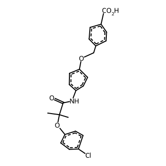 CC(C)(Oc1ccc(Cl)cc1)C(=O)Nc1ccc(OCc2ccc(C(=O)O)cc2)cc1